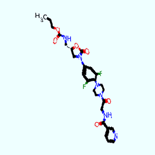 CCCOC(=O)NC[C@H]1CN(c2cc(F)c(N3CCN(C(=O)CNC(=O)c4cccnc4)CC3)c(F)c2)C(=O)O1